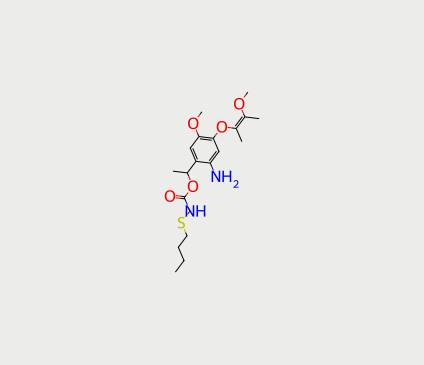 CCCCSNC(=O)OC(C)c1cc(OC)c(O/C(C)=C(/C)OC)cc1N